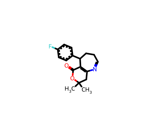 CC1(C)CC2=C(C(=O)O1)C(c1ccc(F)cc1)CCC=N2